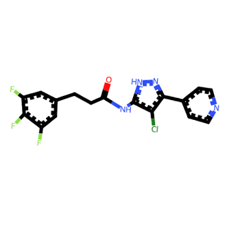 O=C(CCc1cc(F)c(F)c(F)c1)Nc1[nH]nc(-c2ccncc2)c1Cl